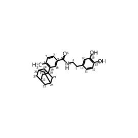 Cc1ccc(C(=O)NCCc2ccc(O)c(O)c2)cc1C12CC3CC(CC(C3)C1)C2